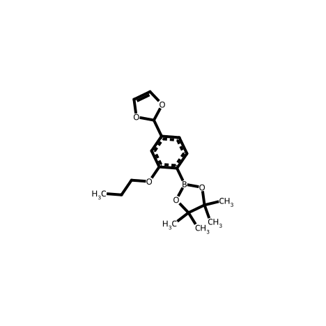 CCCOc1cc(C2OC=CO2)ccc1B1OC(C)(C)C(C)(C)O1